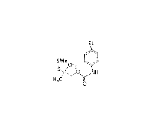 CCc1ccc(NC(=O)OCC(C)(C)SSC)cc1